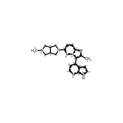 Cc1nc2ccc(N3CC4CN(C)CC4C3)nn2c1-c1ccnc2[nH]ccc12